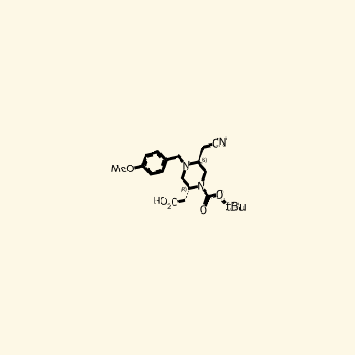 COc1ccc(CN2C[C@@H](CC(=O)O)N(C(=O)OC(C)(C)C)C[C@@H]2CC#N)cc1